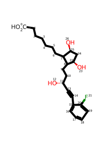 O=C(O)CCCCCCC1C(CC[C@@H](O)C#Cc2ccccc2F)[C@H](O)C[C@@H]1O